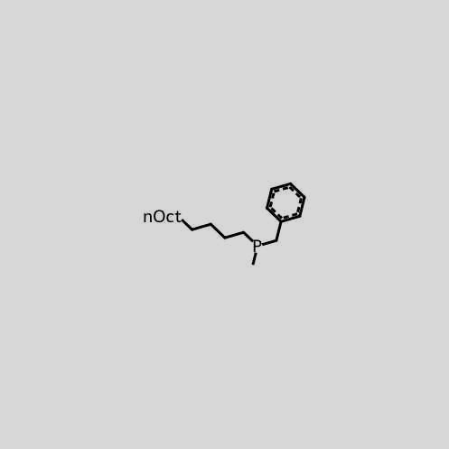 CCCCCCCCCCCCP(C)Cc1ccccc1